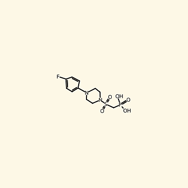 O=P(O)(O)CS(=O)(=O)N1CCN(c2ccc(F)cc2)CC1